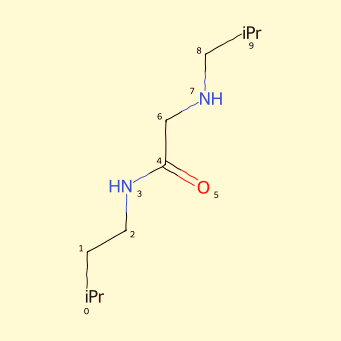 CC(C)CCNC(=O)CNCC(C)C